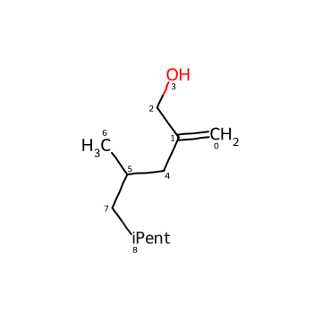 C=C(CO)CC(C)CC(C)CCC